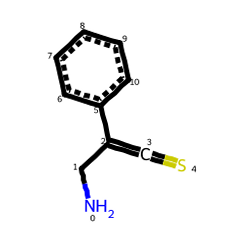 NCC(=C=S)c1ccccc1